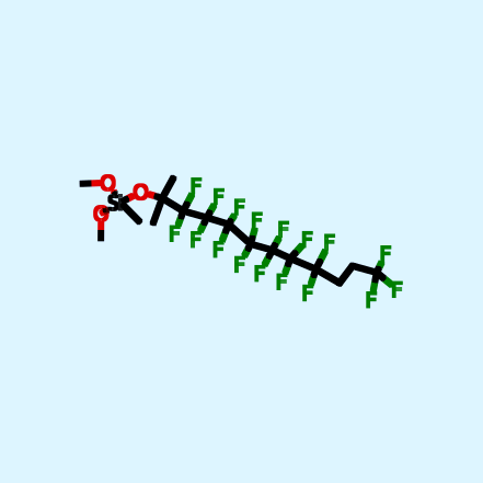 CO[Si](C)(OC)OC(C)(C)C(F)(F)C(F)(F)C(F)(F)C(F)(F)C(F)(F)C(F)(F)C(F)(F)CCC(F)(F)F